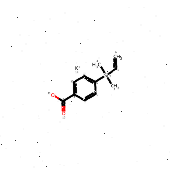 C=C[Si](C)(C)c1ccc(C(=O)[O-])cc1.[K+]